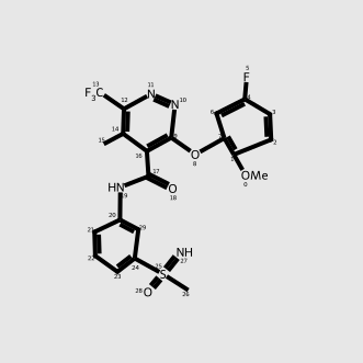 COc1ccc(F)cc1Oc1nnc(C(F)(F)F)c(C)c1C(=O)Nc1cccc(S(C)(=N)=O)c1